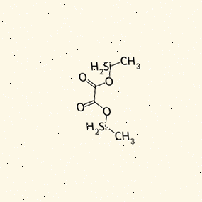 C[SiH2]OC(=O)C(=O)O[SiH2]C